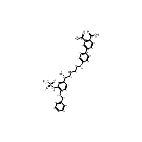 CS(=O)(=O)Nc1cc([C@H](O)CNCCOc2ccc(-c3ccc(C(=O)O)c(C(=O)O)c3)cc2)ccc1OCc1ccccc1